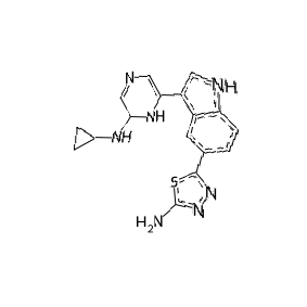 Nc1nnc(-c2ccc3[nH]cc(C4=CN=CC(NC5CC5)N4)c3c2)s1